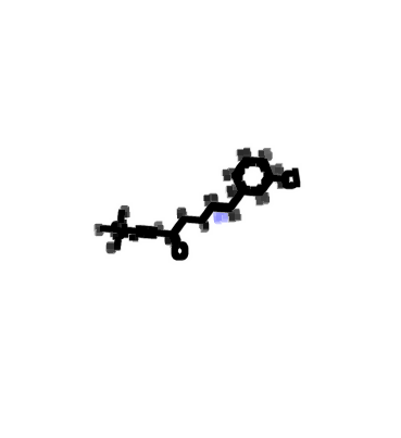 C[Si](C)(C)C#CC(=O)CC/C=C/c1cccc(Cl)c1